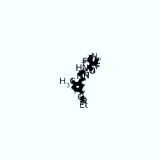 CCOOCc1ccc(C)c(-c2cnc(NC(=O)c3c(F)cncc3F)cn2)c1